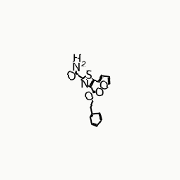 NC(=O)c1nc(C(=O)OCCc2ccccc2)c(-c2ccco2)s1